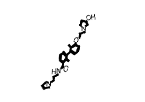 Cc1c(OCCCN2CCC(O)C2)cccc1-c1cccc(C(=O)NCCCN2CCCC2)c1C